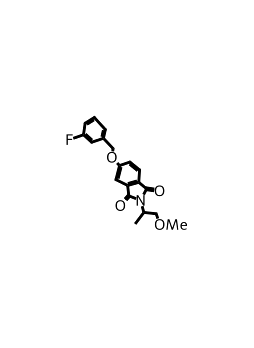 COCC(C)N1C(=O)c2ccc(OCc3cccc(F)c3)cc2C1=O